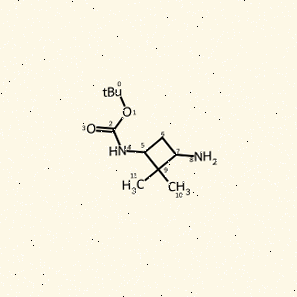 CC(C)(C)OC(=O)NC1CC(N)C1(C)C